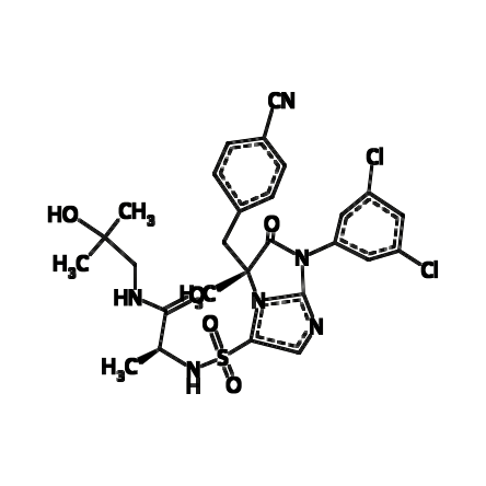 C[C@H](NS(=O)(=O)c1cnc2n1[C@](C)(Cc1ccc(C#N)cc1)C(=O)N2c1cc(Cl)cc(Cl)c1)C(=O)NCC(C)(C)O